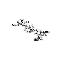 C=C1/C(=C\C=C2/CCC[C@]3(C)[C@@H]([C@H](C)/C=C/[C@@H](O)C4(OC(=O)OC)CC4)CC[C@@H]23)CC(O[Si](C)(C)C(C)(C)C)CC1O[Si](C)(C)C(C)(C)C